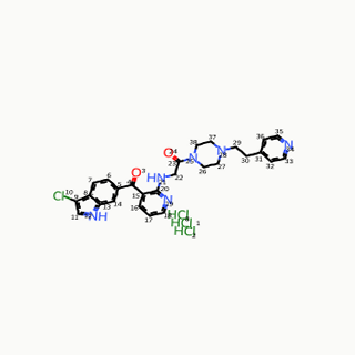 Cl.Cl.Cl.O=C(c1ccc2c(Cl)c[nH]c2c1)c1cccnc1NCC(=O)N1CCN(CCc2ccncc2)CC1